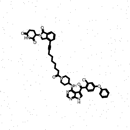 O=C1CCC(N2Cc3c(C#CCCCCCCC(=O)N4CCC(Nc5ncnc6[nH]cc(C(=O)c7ccc(Oc8ccccc8)cc7Cl)c56)CC4)cccc3C2=O)C(=O)N1